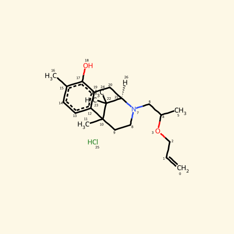 C=CCOC(C)CN1CCC2(C)c3ccc(C)c(O)c3C[C@@H]1C2(C)C.Cl